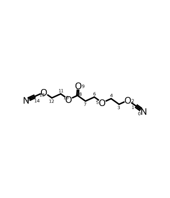 N#COCCOCCC(=O)OCCOC#N